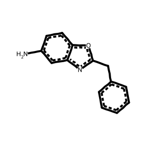 Nc1ccc2oc(Cc3ccccc3)nc2c1